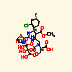 COC(=O)C1=C(CN2C(O[C@@](O)(C(=O)O)C(O)(O)C(=O)O)COC[C@@H]2C(=O)O)NC(c2nccs2)=N[C@H]1c1ccc(F)cc1Cl